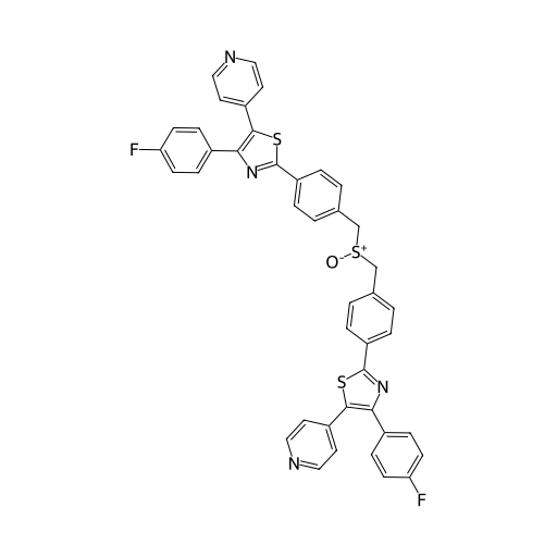 [O-][S+](Cc1ccc(-c2nc(-c3ccc(F)cc3)c(-c3ccncc3)s2)cc1)Cc1ccc(-c2nc(-c3ccc(F)cc3)c(-c3ccncc3)s2)cc1